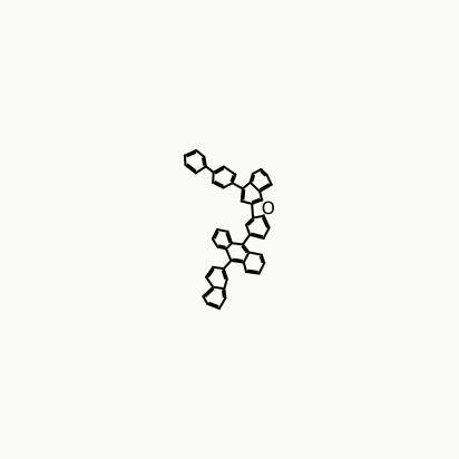 c1ccc(-c2ccc(-c3cc4c5cc(-c6c7ccccc7c(-c7ccc8ccccc8c7)c7ccccc67)ccc5oc4c4ccccc34)cc2)cc1